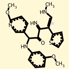 CN/C=C(\C(=N)C(=O)C(Nc1cccc(OC)c1)c1ccc(OC)nc1)c1cccs1